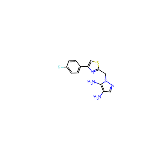 Nc1cnn(Cc2nc(-c3ccc(F)cc3)cs2)c1N